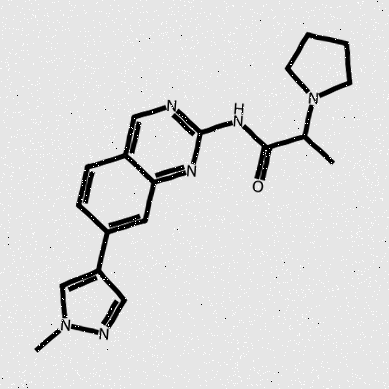 CC(C(=O)Nc1ncc2ccc(-c3cnn(C)c3)cc2n1)N1CCCC1